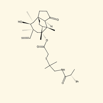 C=C[C@]1(C)C[C@@H](OC(=O)CSC(C)(C)CNC(=O)[C@H](C)C(C)C)[C@]2(C)[C@H](C)CC[C@]3(CCC(=O)[C@H]32)[C@@H](C)[C@@H]1O